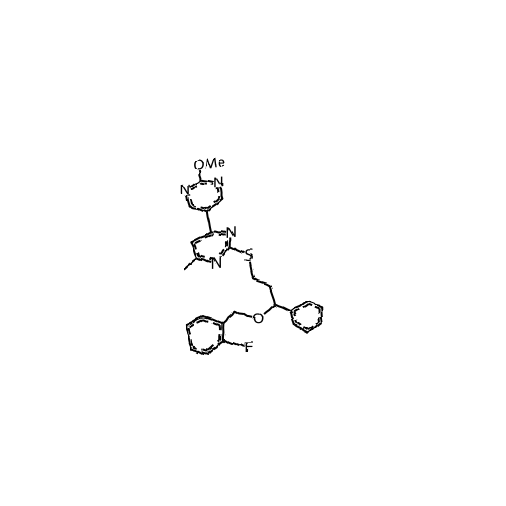 COc1ncc(-c2cc(C)nc(SCCC(OCc3ccccc3F)c3ccccc3)n2)cn1